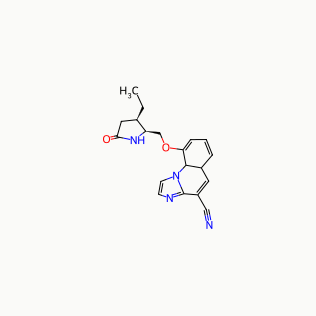 CC[C@@H]1CC(=O)N[C@@H]1COC1=CC=CC2C=C(C#N)c3nccn3C12